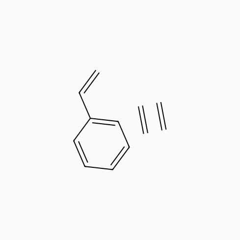 C=C.C=C.C=Cc1ccccc1